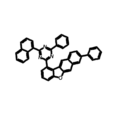 c1ccc(-c2ccc3cc4c(cc3c2)oc2cccc(-c3nc(-c5ccccc5)nc(-c5cccc6ccccc56)n3)c24)cc1